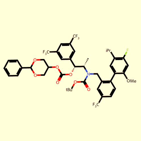 COc1cc(F)c(C(C)C)cc1-c1ccc(C(F)(F)F)cc1CN(C(=O)OC(C)(C)C)[C@@H](C)[C@H](OC(=O)OC1COC(c2ccccc2)OC1)c1cc(C(F)(F)F)cc(C(F)(F)F)c1